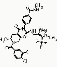 CNC(=O)c1ccc(-n2c(NCc3nnn(C)c3C(F)(F)F)nc3c(c2=O)C[C@@H](C)N(C(=O)c2ccc(Cl)c(Cl)c2)C3)cc1